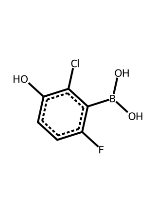 OB(O)c1c(F)ccc(O)c1Cl